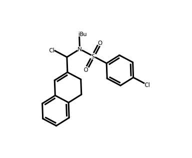 CCC(C)N(C(Cl)C1=Cc2ccccc2CC1)S(=O)(=O)c1ccc(Cl)cc1